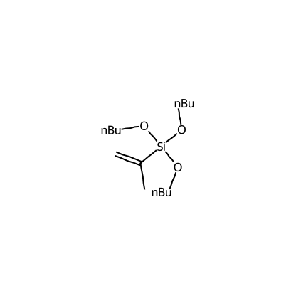 C=C(C)[Si](OCCCC)(OCCCC)OCCCC